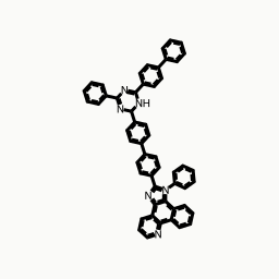 c1ccc(C2=NC(c3ccc(-c4ccc(-c5nc6c7cccnc7c7ccccc7c6n5-c5ccccc5)cc4)cc3)NC(c3ccc(-c4ccccc4)cc3)=N2)cc1